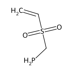 C=CS(=O)(=O)CP